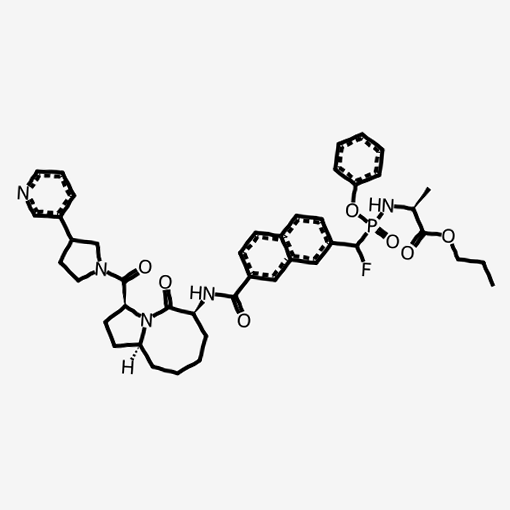 CCCOC(=O)[C@H](C)NP(=O)(Oc1ccccc1)C(F)c1ccc2ccc(C(=O)N[C@H]3CCCC[C@H]4CC[C@@H](C(=O)N5CCC(c6cccnc6)C5)N4C3=O)cc2c1